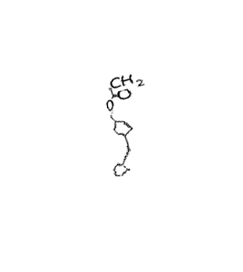 C=CC(=O)OCCc1ccc(Cc2ccccc2)cc1